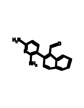 Nc1ccc(-c2ccc3ccccc3c2C=O)c(N)n1